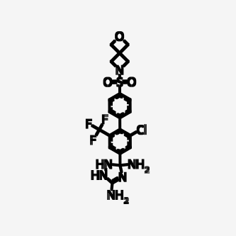 NC1=NC(N)(c2cc(Cl)c(-c3ccc(S(=O)(=O)N4CC5(COC5)C4)cc3)c(C(F)(F)F)c2)NN1